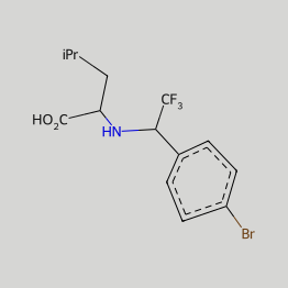 CC(C)CC(NC(c1ccc(Br)cc1)C(F)(F)F)C(=O)O